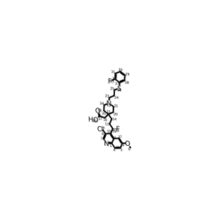 COc1ccc2ncc(Cl)c([C@@H](F)CCC3(CC(=O)O)CCN(CCCSc4ccccc4F)CC3)c2c1